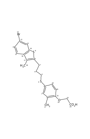 Cc1cc(SCCCc2sc3cc(Br)ccc3c2C)ccc1OCC(=O)O